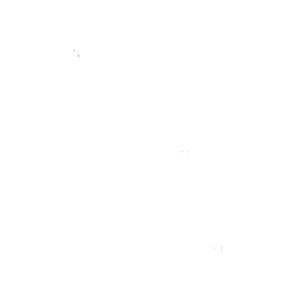 CCCCOc1ccc(C#N)c(F)c1